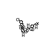 Cc1c(S(=O)(=O)N2CCNC(=O)[C@H]2CC(=O)N[C@@H]2CCOc3cc(CNC(C)(C)C)ccc32)sc2ccc(Cl)cc12